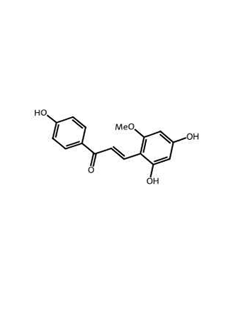 COc1cc(O)cc(O)c1C=CC(=O)c1ccc(O)cc1